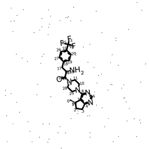 C[C@@H]1CCc2ncnc(N3CCN(C(=O)[C@H](N)Cc4ccc(C(F)(F)F)cc4)CC3)c21